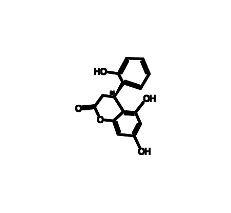 O=C1C[C@@H](c2ccccc2O)c2c(O)cc(O)cc2O1